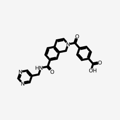 O=C(O)c1ccc(C(=O)N2C=Cc3ccc(C(=O)NCc4cncnc4)cc3C2)cc1